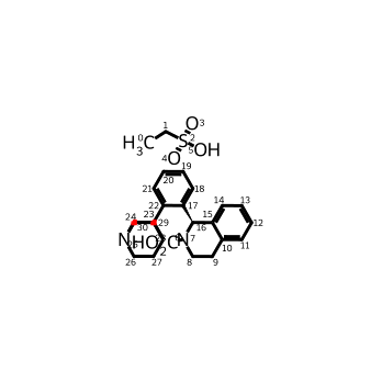 CCS(=O)(=O)O.O=C(O)N1CCc2ccccc2[C@@H]1c1ccccc1C1CN2CCC1CC2